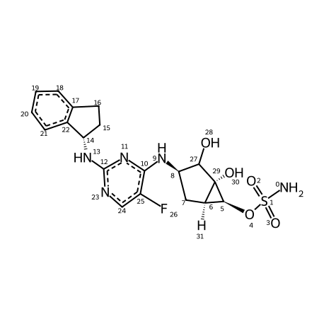 NS(=O)(=O)O[C@H]1[C@H]2C[C@@H](Nc3nc(N[C@H]4CCc5ccccc54)ncc3F)C(O)[C@]21O